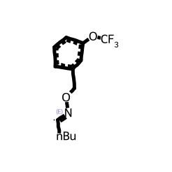 CCCC/[C]=N/OCc1cccc(OC(F)(F)F)c1